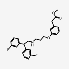 COC(=O)Cc1cccc(OCCCNCC(c2cccc(F)c2)c2cccc(F)c2)c1